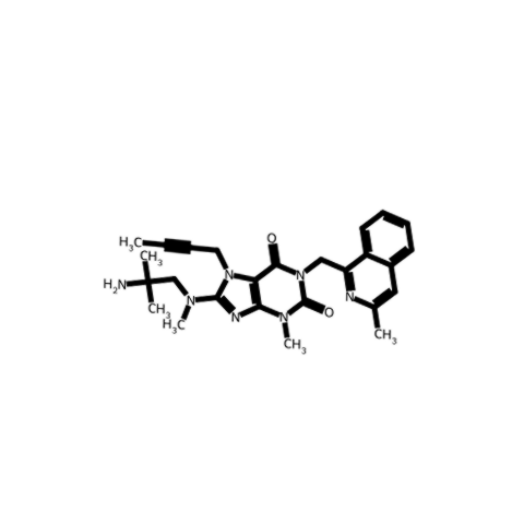 CC#CCn1c(N(C)CC(C)(C)N)nc2c1c(=O)n(Cc1nc(C)cc3ccccc13)c(=O)n2C